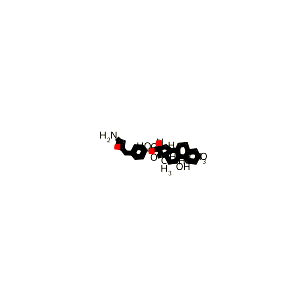 C[C@]12C=CC(=O)C=C1CC[C@@H]1[C@@H]2[C@@H](O)C[C@@]2(C)[C@H]1C[C@H]1O[C@@H](c3ccc(CC45CC(N)(C4)C5)cc3)O[C@]12C(=O)CO